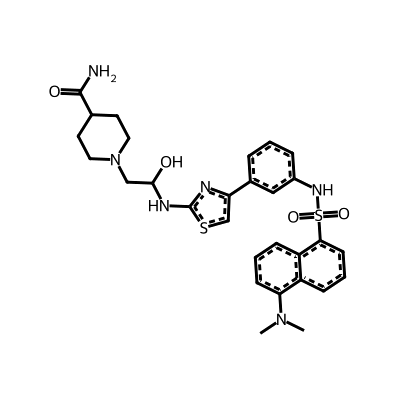 CN(C)c1cccc2c(S(=O)(=O)Nc3cccc(-c4csc(NC(O)CN5CCC(C(N)=O)CC5)n4)c3)cccc12